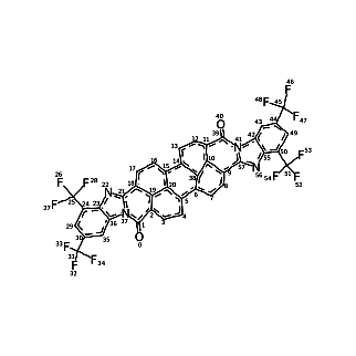 O=c1c2ccc3c4ccc5c6c(ccc(c7ccc(c2c37)c2nc3c(C(F)(F)F)cc(C(F)(F)F)cc3n12)c46)c(=O)n1c2cc(C(F)(F)F)cc(C(F)(F)F)c2nc51